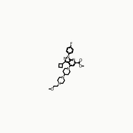 COCCN1CCN(C2CCN(c3cc(C(=O)OC)nc4c3c(C3CCC3)nn4-c3ccc(F)cc3)CC2)CC1